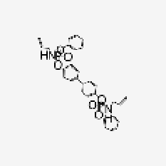 C=CCNP(=O)(Oc1ccccc1)Oc1ccc(-c2ccc(OP(=O)(NCC=C)Oc3ccccc3)cc2)cc1